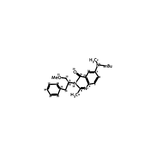 CCCCN(C)c1ccc2nc(C)n([C@H](COC)Cc3ccccc3)c(=O)c2c1